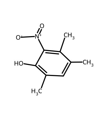 Cc1cc(C)c(O)c([N+](=O)[O-])c1C